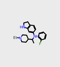 CCN1CCC(C(C)Nc2ccc3c(c2)NCC3)CC1.Fc1ccccc1